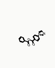 O=C(OC(=O)c1ccc(-n2ccnc2)cc1)c1ccccc1